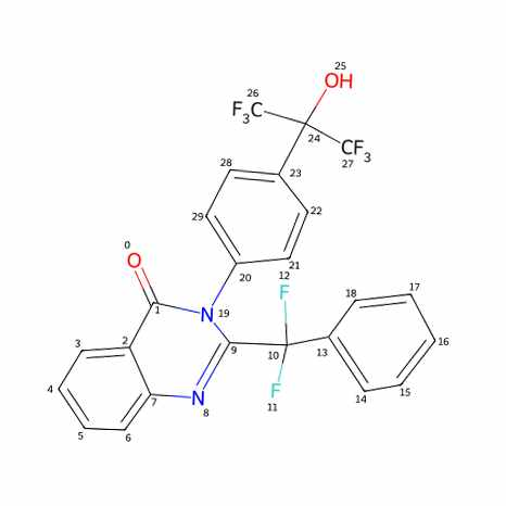 O=c1c2ccccc2nc(C(F)(F)c2ccccc2)n1-c1ccc(C(O)(C(F)(F)F)C(F)(F)F)cc1